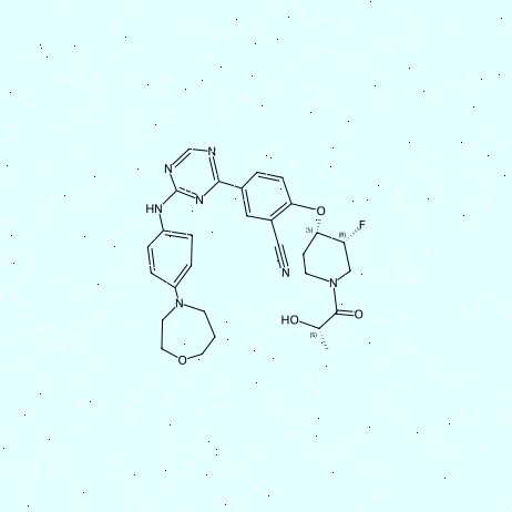 C[C@H](O)C(=O)N1CC[C@H](Oc2ccc(-c3ncnc(Nc4ccc(N5CCCOCC5)cc4)n3)cc2C#N)[C@H](F)C1